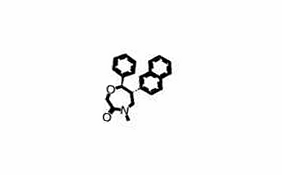 CN1C[C@@H](c2ccc3ccccc3c2)[C@H](c2ccccc2)OCC1=O